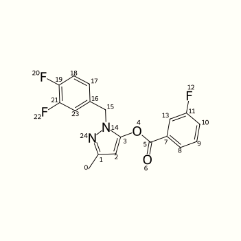 Cc1cc(OC(=O)c2cccc(F)c2)n(Cc2ccc(F)c(F)c2)n1